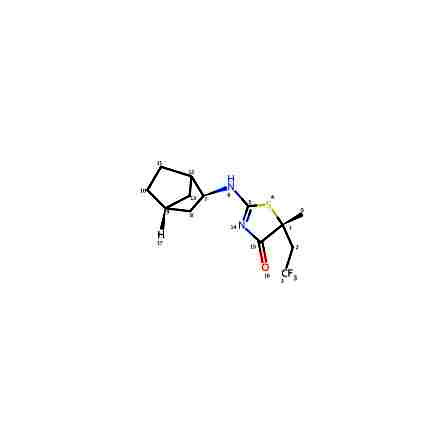 C[C@]1(CC(F)(F)F)SC(N[C@H]2C[C@@H]3CCC2C3)=NC1=O